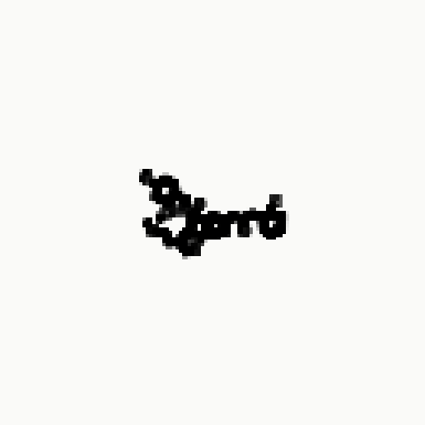 COCCc1cnn(-c2ccc(CC(=O)Cc3ccccc3Cl)cc2S(=O)(=O)NCc2ccc(OC)cc2OC)c1